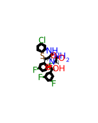 C[C@@H](C(N)=O)N(C(=O)[C@@H](O)c1cc(F)cc(F)c1)[C@@H]1C(=O)Nc2cc(Cl)ccc2S[C@@H]1c1cc(F)ccc1F